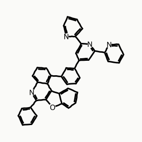 c1ccc(-c2nc3cccc(-c4cccc(-c5cc(-c6ccccn6)nc(-c6ccccn6)c5)c4)c3c3c2oc2ccccc23)cc1